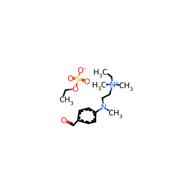 CCOS(=O)(=O)[O-].CC[N+](C)(C)CCN(C)c1ccc(C=O)cc1